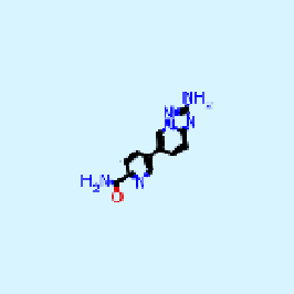 NC(=O)c1[c]cc(-c2ccc3nc(N)nn3c2)cn1